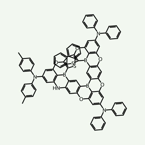 Cc1ccc(N(c2ccc(C)cc2)c2cc3c4c(c2)Oc2c(sc5ccccc25)B4c2cc4c(cc2N3)Oc2cc(N(c3ccccc3)c3ccccc3)cc3c2B4c2cc4c(cc2O3)Oc2cc(N(c3ccccc3)c3ccccc3)cc3c2B4c2sc4ccccc4c2O3)cc1